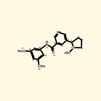 CCCCN1CCCC1c1cncc(C(=O)Nc2cc(OC)cc(OC)c2)c1